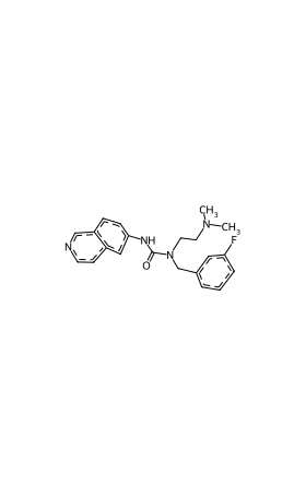 CN(C)CCN(Cc1cccc(F)c1)C(=O)Nc1ccc2cnccc2c1